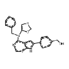 OCc1ccc(-c2cc3c(N(Cc4ccccc4)C4=COCO4)ncnc3[nH]2)cc1